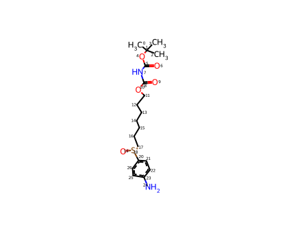 CC(C)(C)OC(=O)NC(=O)OCCCCCCC[S+]([O-])c1ccc(N)cc1